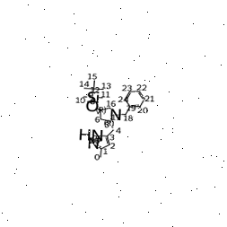 Cc1cc(C[C@@H]2C[C@@H](O[Si](C)(C)C(C)(C)C)CN2Cc2ccccc2)[nH]n1